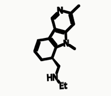 CCNC[C@H]1CC=Cc2c1n(C)c1cc(C)ncc21